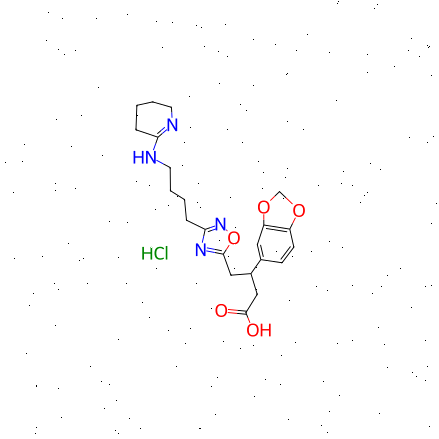 Cl.O=C(O)CC(Cc1nc(CCCCNC2=NCCCC2)no1)c1ccc2c(c1)OCO2